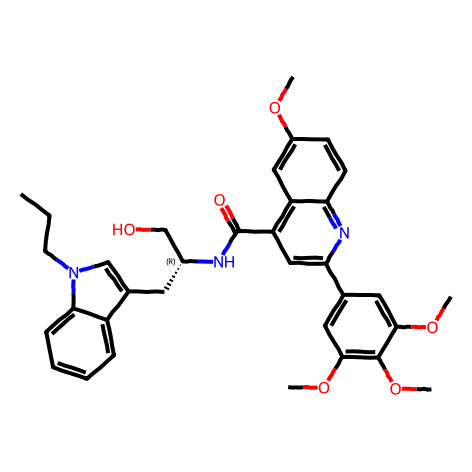 CCCn1cc(C[C@H](CO)NC(=O)c2cc(-c3cc(OC)c(OC)c(OC)c3)nc3ccc(OC)cc23)c2ccccc21